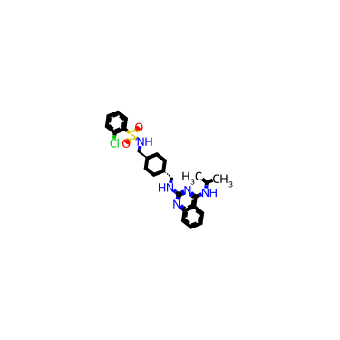 CC(C)Nc1nc(NC[C@H]2CC[C@H](CNS(=O)(=O)c3ccccc3Cl)CC2)nc2ccccc12